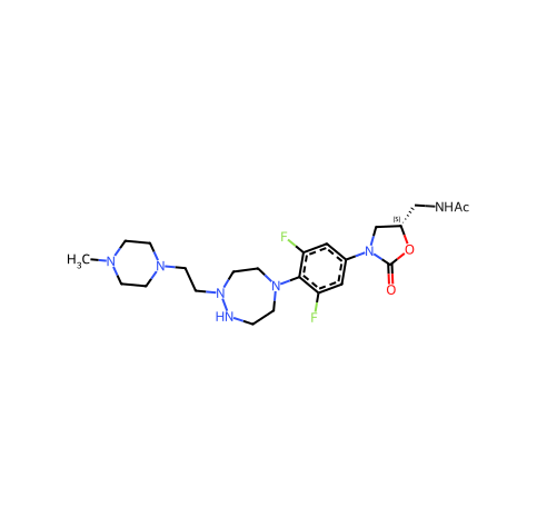 CC(=O)NC[C@H]1CN(c2cc(F)c(N3CCNN(CCN4CCN(C)CC4)CC3)c(F)c2)C(=O)O1